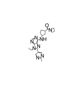 CCn1c(-c2cnc(C)nc2)nc2c(NC3CCC(C(=O)N4CCC4)C3)ncnc21